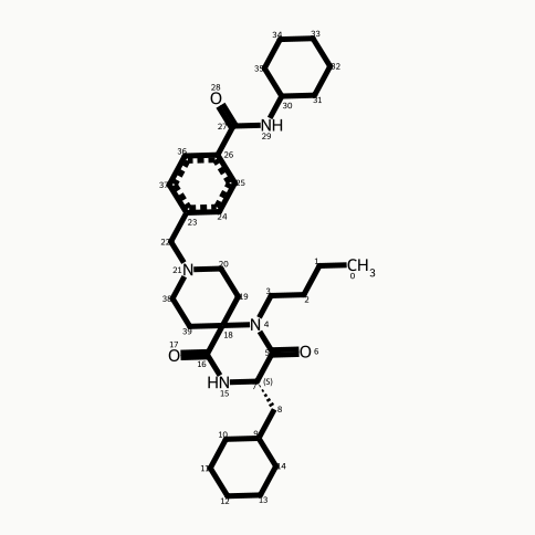 CCCCN1C(=O)[C@H](CC2CCCCC2)NC(=O)C12CCN(Cc1ccc(C(=O)NC3CCCCC3)cc1)CC2